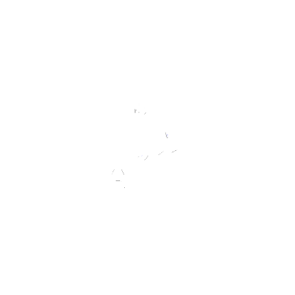 CNC(=O)CCC/C=C\CC1=C(/C=C/[C@@H](O)COc2cccc(C(F)(F)F)c2)CCC1=O